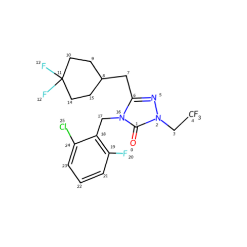 O=c1n(CC(F)(F)F)nc(CC2CCC(F)(F)CC2)n1Cc1c(F)cccc1Cl